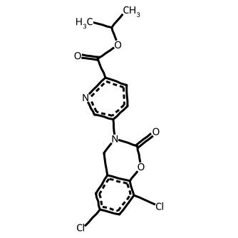 CC(C)OC(=O)c1ccc(N2Cc3cc(Cl)cc(Cl)c3OC2=O)cn1